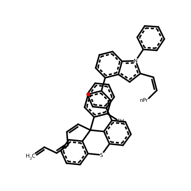 C=C/C=C\C=C/C1(c2ccc(-c3cccc4c3cc(/C=C\CCC)n4-c3ccccc3)cc2S)c2ccccc2Sc2cccc(-c3ccccc3)c21